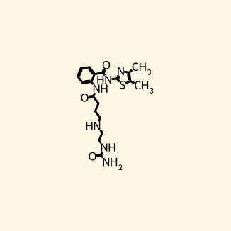 Cc1nc(NC(=O)c2ccccc2NC(=O)CCCNCCNC(N)=O)sc1C